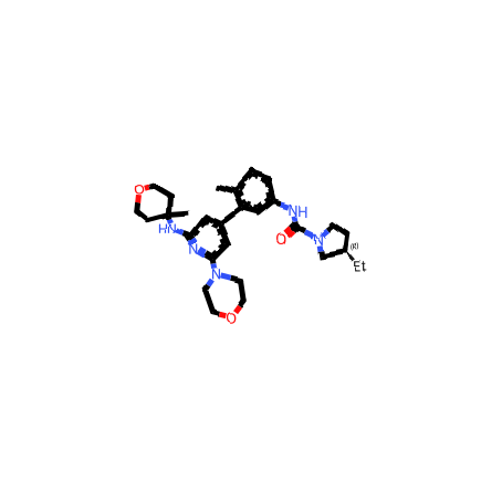 CC[C@@H]1CCN(C(=O)Nc2ccc(C)c(-c3cc(NC4(C)CCOCC4)nc(N4CCOCC4)c3)c2)C1